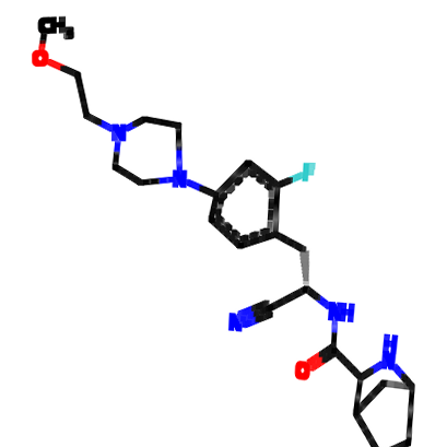 COCCN1CCN(c2ccc(C[C@@H](C#N)NC(=O)C3NC4CCC3C4)c(F)c2)CC1